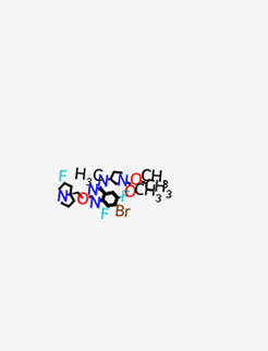 CN(c1nc(OC[C@@]23CCCN2C[C@H](F)C3)nc2c(F)c(Br)c(F)cc12)[C@H]1CCN(C(=O)OC(C)(C)C)C1